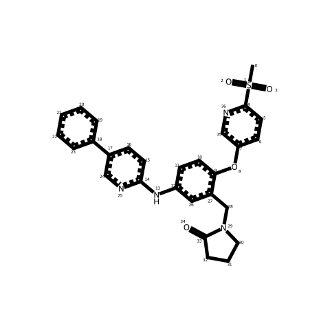 CS(=O)(=O)c1ccc(Oc2ccc(Nc3ccc(-c4ccccc4)cn3)cc2CN2CCCC2=O)cn1